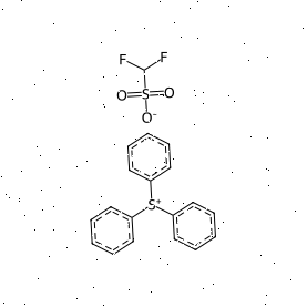 O=S(=O)([O-])C(F)F.c1ccc([S+](c2ccccc2)c2ccccc2)cc1